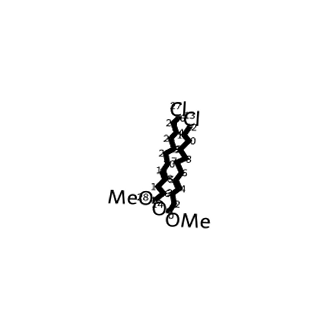 COC(CCC=CCCCCCCCCl)OC(CCC=CCCCCCCCCl)OC